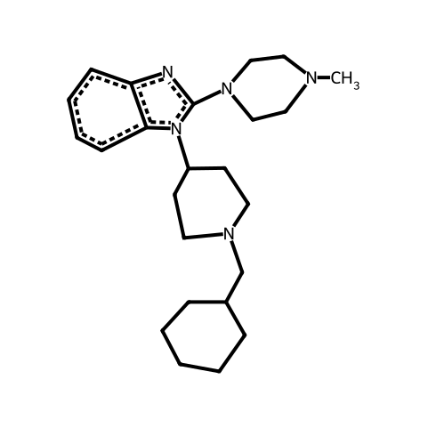 CN1CCN(c2nc3ccccc3n2C2CCN(CC3CCCCC3)CC2)CC1